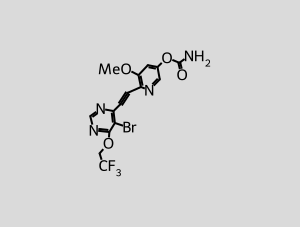 COc1cc(OC(N)=O)cnc1C#Cc1ncnc(OCC(F)(F)F)c1Br